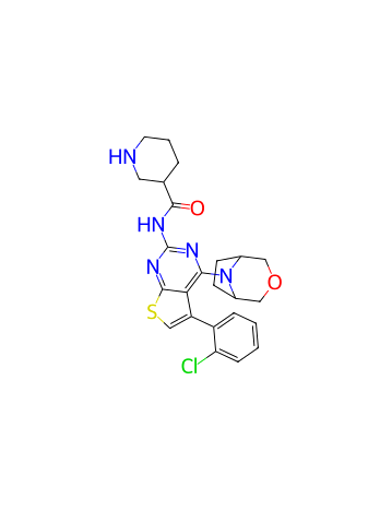 O=C(Nc1nc(N2C3CCC2COC3)c2c(-c3ccccc3Cl)csc2n1)C1CCCNC1